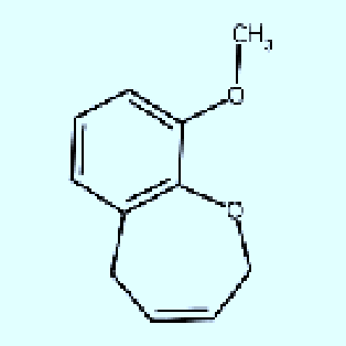 COc1cccc2c1OCC=CC2